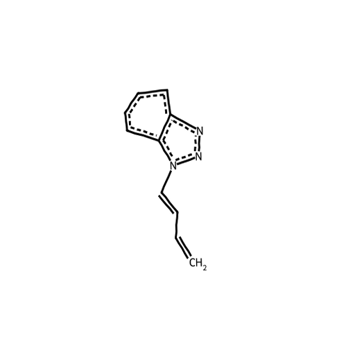 C=CC=Cn1nnc2ccccc21